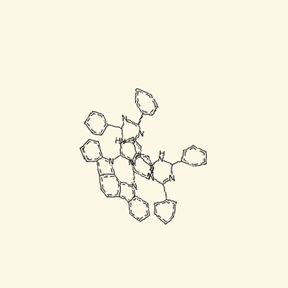 c1ccc(C2=NC(c3ccccc3)NC(c3cccc(-n4c5ccccc5c5ccc6c7ccccc7n(-c7cccc(C8=NC(c9ccccc9)=NC(c9ccccc9)N8)n7)c6c54)n3)=N2)cc1